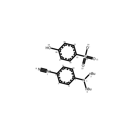 CCCCN(CCCC)c1ccc([N+]#N)cc1.O=S(=O)([O-])c1ccc(O)cc1